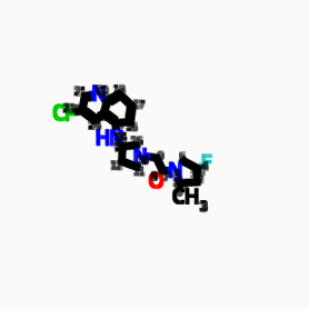 C[C@@H]1C[C@H](F)CN1C(=O)CN1CC[C@@H](Nc2cccc3ncc(Cl)cc23)C1